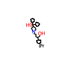 CC(C)c1ccc(C(CO)CCCN2CCC(C(O)(c3ccccc3)c3ccccc3)CC2)cc1